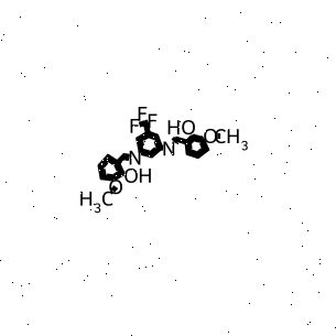 COc1cccc(/C=N/c2cc(/N=C/c3cccc(OC)c3O)cc(C(F)(F)F)c2)c1O